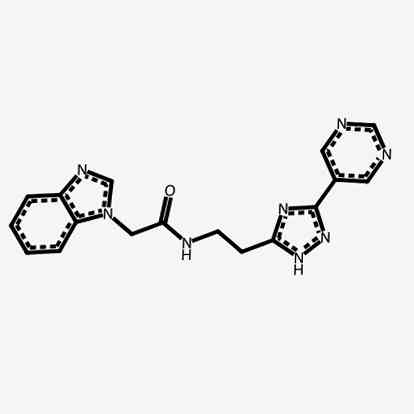 O=C(Cn1cnc2ccccc21)NCCc1nc(-c2cncnc2)n[nH]1